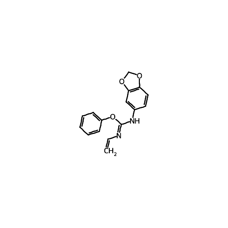 C=C/N=C(/Nc1ccc2c(c1)OCO2)Oc1ccccc1